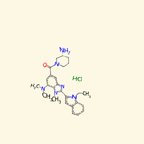 CCn1c(-c2nc3cc(C(=O)N4CCC[C@@H](N)C4)cc(N(C)C)c3n2C)cc2ccccc21.Cl